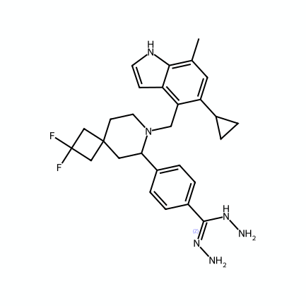 Cc1cc(C2CC2)c(CN2CCC3(CC2c2ccc(/C(=N/N)NN)cc2)CC(F)(F)C3)c2cc[nH]c12